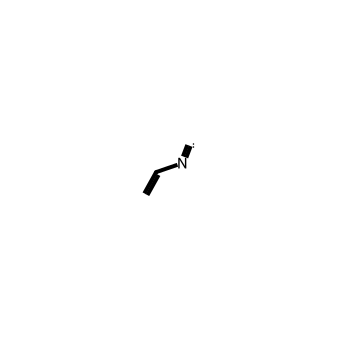 [C]=NC=C